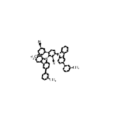 Cc1cccc(-c2ccc3c(c2)c2ccccc2n3-c2ccc(-c3cc(C)cc(C#N)c3)c(-n3c4ccccc4c4cc(-c5cccc(C)c5)ccc43)c2C#N)c1